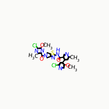 COc1cnc(Cl)cc1-c1cc(C)ncc1C(=O)Nc1nc2c(s1)CN(C(=O)c1nc(OC)c(Cl)nc1C)C2